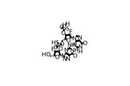 Nc1nc2c(nnn2[C@@H]2O[C@H](CO)[C@@H](F)[C@H]2OP(=O)(S)OC[C@H]2O[C@@H](n3cnc4c(=O)[nH]cnc43)[C@@H](F)[C@@H]2O[PH](=O)S)c(=O)[nH]1